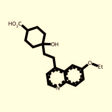 CCOc1ccc2nccc(CCC3(O)CCC(C(=O)O)CC3)c2c1